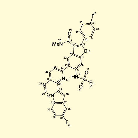 CCS(=O)(=O)Nc1cc2oc(-c3ccc(F)cc3)c(C(=O)NC)c2cc1-c1ccc2ncn3c4ccc(F)cc4cc3c2n1